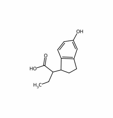 CCC(C(=O)O)C1CCc2cc(O)ccc21